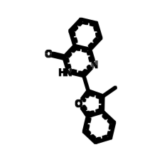 Cc1c(-c2nc3ccccc3c(=O)[nH]2)oc2ccccc12